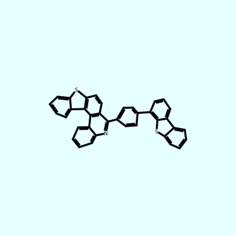 c1ccc2c(c1)nc(-c1ccc(-c3cccc4c3sc3ccccc34)cc1)c1ccc3sc4ccccc4c3c12